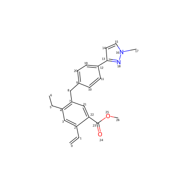 C=Cc1cc(CC)c(Cc2ccc(-c3ccn(C)n3)cc2)cc1C(=O)OC